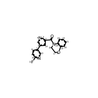 O=C(c1cncc(-c2ccc(F)nc2)c1)N1CCOc2ccccc21